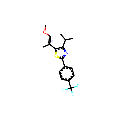 CO/C=C(\C)c1sc(-c2ccc(C(F)(F)F)cc2)nc1C(C)C